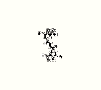 CCN(CC)C(=O)N(CC)[C@@H](COC(=O)/C=C/C(=O)OC[C@@H](C(C)C)N(CC)C(=O)N(CC)CC)C(C)C